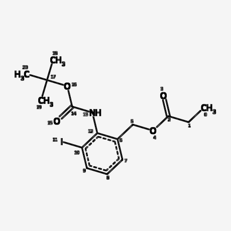 CCC(=O)OCc1cccc(I)c1NC(=O)OC(C)(C)C